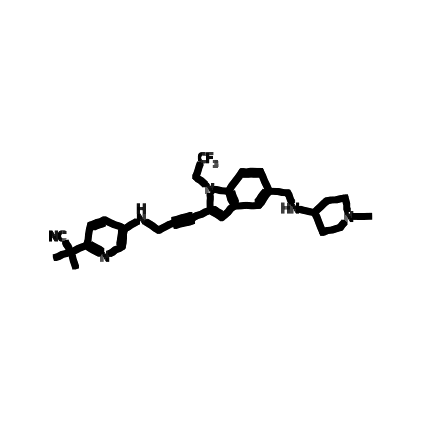 CN1CCC(NCc2ccc3c(c2)cc(C#CCNc2ccc(C(C)(C)C#N)nc2)n3CC(F)(F)F)CC1